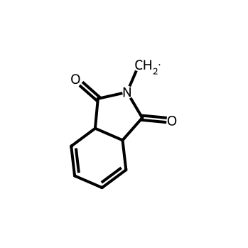 [CH2]N1C(=O)C2C=CC=CC2C1=O